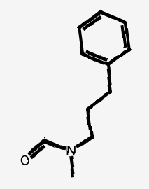 CN([C]=O)CCCc1ccccc1